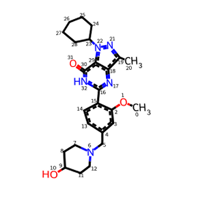 COc1cc(CN2CCC(O)CC2)ccc1-c1nc2c(C)nn(C3CCCCC3)c2c(=O)[nH]1